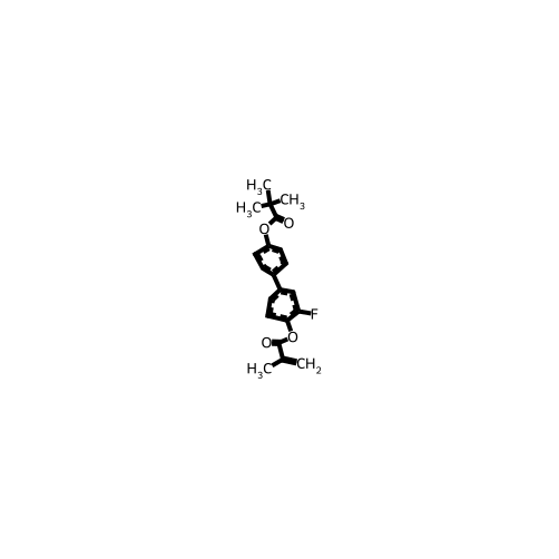 C=C(C)C(=O)Oc1ccc(-c2ccc(OC(=O)C(C)(C)C)cc2)cc1F